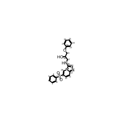 O=S(=O)(c1ccccc1)c1ccc2nnc(NCC(O)COc3ccccc3)n2c1